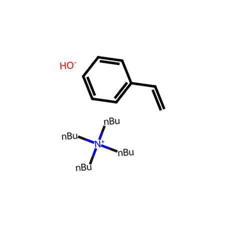 C=Cc1ccccc1.CCCC[N+](CCCC)(CCCC)CCCC.[OH-]